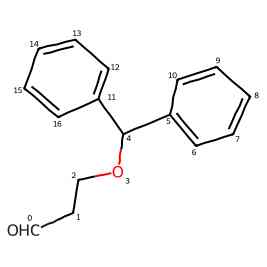 O=CCCOC(c1ccccc1)c1ccccc1